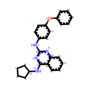 c1ccc(Oc2ccc(Nc3nc(NC4CCCC4)c4ccccc4n3)cc2)cc1